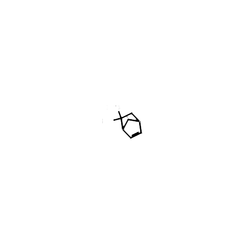 NC1(O)CC2C=CC1C2